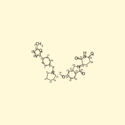 Cc1nnc(-c2ccc(CN3CCCC[C@H]3COc3ccc4c(c3)CN(C3CCC(=O)NC3=O)C4=O)cc2)o1